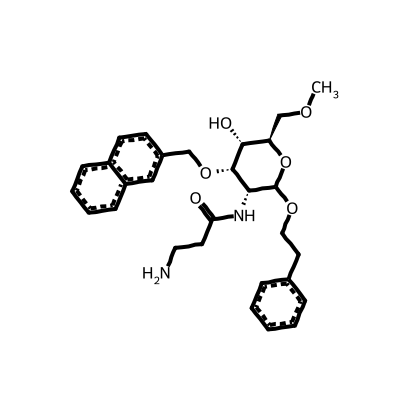 COC[C@H]1OC(OCCc2ccccc2)[C@H](NC(=O)CCN)[C@H](OCc2ccc3ccccc3c2)[C@@H]1O